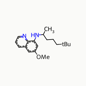 COc1cc(NC(C)CCCC(C)(C)C)c2ncccc2c1